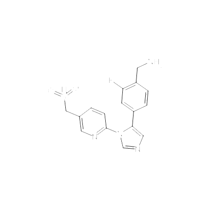 NCc1ccc(-c2cncn2-c2ccc(C[SH](=O)=O)cn2)cc1F